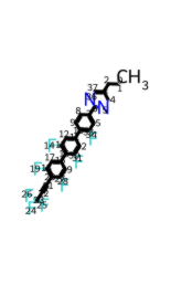 CCCc1cnc(-c2ccc(-c3cc(F)c(-c4cc(F)c(C#CC(F)(F)F)c(F)c4)c(F)c3)c(F)c2)nc1